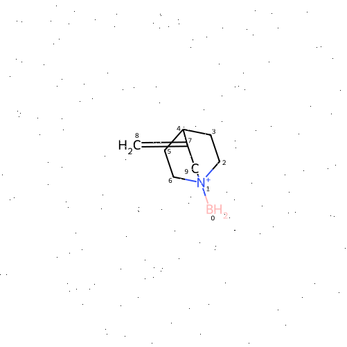 B[N+]12CCC(CC1)C(=C)C2